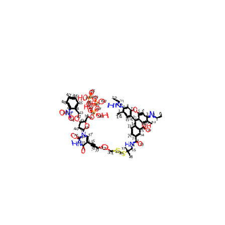 CC/N=C1/C=C2Oc3cc(NCC)c(C)cc3C(c3ccc(C(=O)NCC(C)(C)SSCOCC#Cc4cn([C@H]5C[C@@H](OCc6ccccc6[N+](=O)[O-])C(COP(=O)(O)OP(=O)(O)OP(=O)(O)O)O5)c(=O)[nH]c4=O)cc3C(=O)O)C2C=C1C